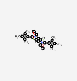 Cc1ccc([Si](c2ccc(C)cc2)(c2ccc(C)cc2)c2ccc(-c3ccc(N(c4cc(C(C)C)c5ccc6c(N(c7ccc(-c8ccc([Si](c9ccc(C)cc9)(c9ccc(C)cc9)c9ccc(C)cc9)cc8)cc7F)c7cccc8c7oc7ccccc78)cc(C(C)C)c7ccc4c5c76)c4cccc5c4oc4ccccc45)c(F)c3)cc2)cc1